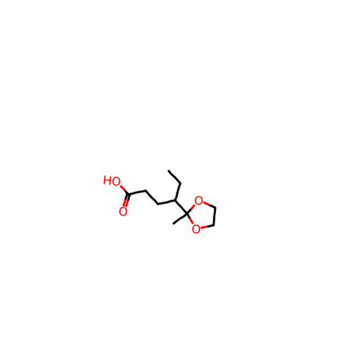 CCC(CCC(=O)O)C1(C)OCCO1